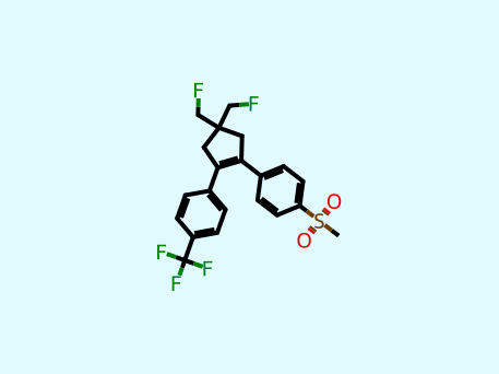 CS(=O)(=O)c1ccc(C2=C(c3ccc(C(F)(F)F)cc3)CC(CF)(CF)C2)cc1